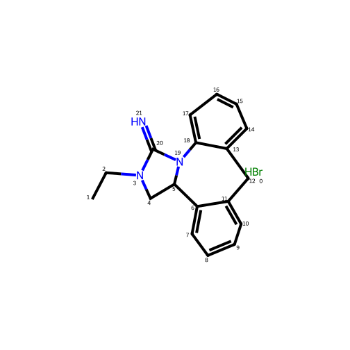 Br.CCN1CC2c3ccccc3Cc3ccccc3N2C1=N